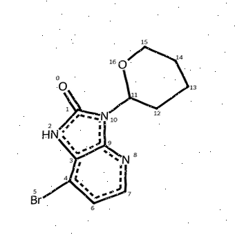 O=c1[nH]c2c(Br)ccnc2n1C1CCCCO1